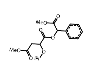 COC(=O)CC(OC(C)C)C(=O)OC(C(=O)OC)c1ccccc1